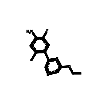 CCOc1cncc(-c2cc(F)c(N)cc2C)n1